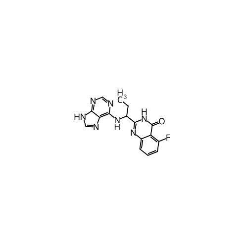 CCC(Nc1ncnc2[nH]cnc12)c1nc2cccc(F)c2c(=O)[nH]1